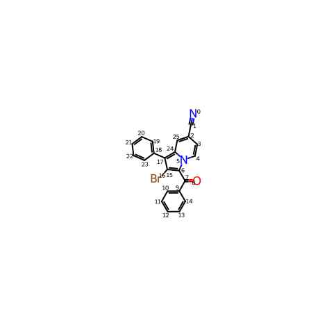 N#Cc1ccn2c(C(=O)c3ccccc3)c(Br)c(-c3ccccc3)c2c1